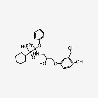 CCCC(NCC(O)COc1ccc(O)c(CO)c1)(Oc1ccccc1)P(=O)(O)C1CCCCC1